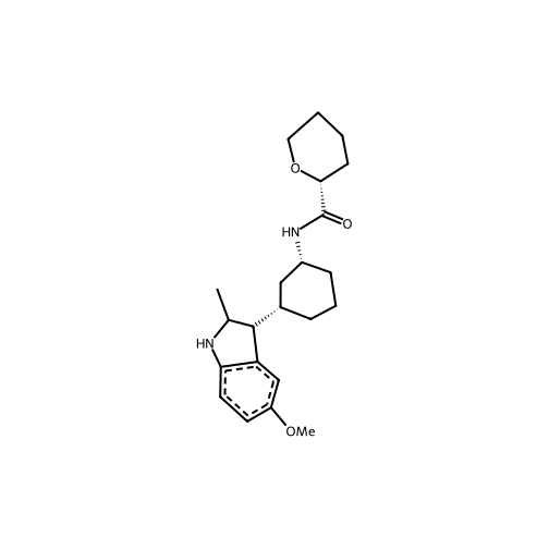 COc1ccc2c(c1)C([C@H]1CCC[C@@H](NC(=O)[C@H]3CCCCO3)C1)C(C)N2